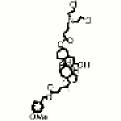 COc1ccc(COC(=O)CC[C@@H](C)[C@H]2CC[C@H]3[C@@H]4[C@H](O)CC5C[C@H](OC(=O)CCCN(CCCl)CCCl)CC[C@]5(C)[C@H]4CC[C@]23C)cc1